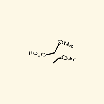 COC(C)=O.COCC(=O)O